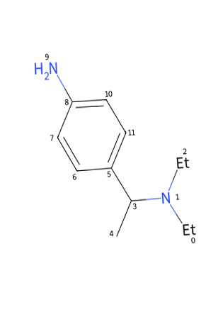 CCN(CC)C(C)c1ccc(N)cc1